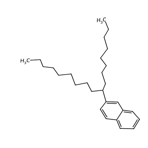 CCCCCCCCCC(CCCCCCCC)c1ccc2ccccc2c1